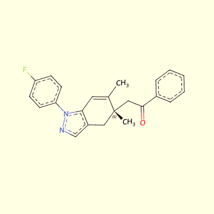 CC1=Cc2c(cnn2-c2ccc(F)cc2)C[C@@]1(C)CC(=O)c1ccccc1